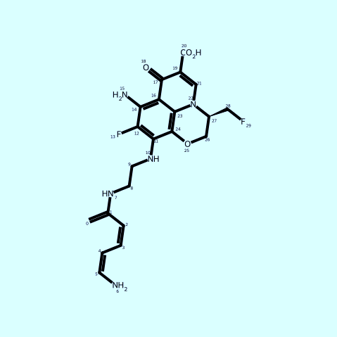 C=C(/C=C\C=C/N)NCCNc1c(F)c(N)c2c(=O)c(C(=O)O)cn3c2c1OC[C@@H]3CF